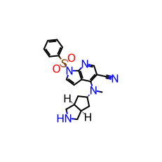 CN(c1c(C#N)cnc2c1ccn2S(=O)(=O)c1ccccc1)[C@@H]1C[C@H]2CNC[C@H]2C1